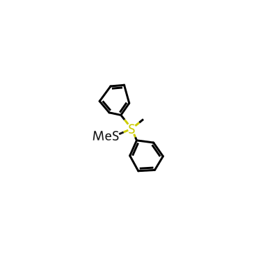 CSS(C)(c1ccccc1)c1ccccc1